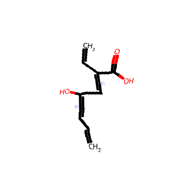 C=C/C=C(O)\C=C(/C=C)C(=O)O